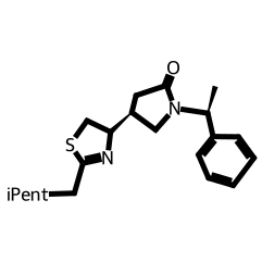 CCCC(C)CC1=NC([C@H]2CC(=O)N([C@@H](C)c3ccccc3)C2)CS1